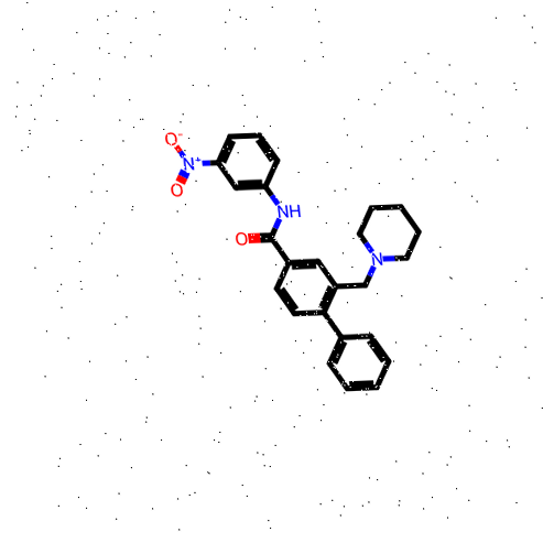 O=C(Nc1cccc([N+](=O)[O-])c1)c1ccc(-c2ccccc2)c(CN2CCCCC2)c1